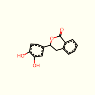 O=C1OC(c2ccc(O)c(O)c2)Cc2ccccc21